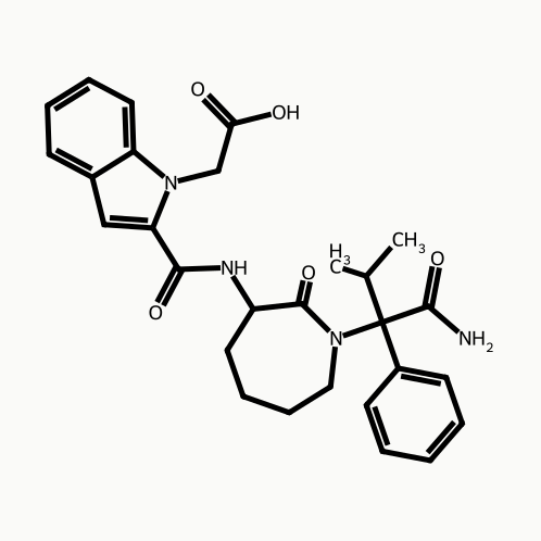 CC(C)C(C(N)=O)(c1ccccc1)N1CCCCC(NC(=O)c2cc3ccccc3n2CC(=O)O)C1=O